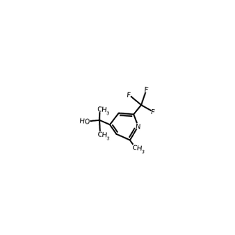 Cc1cc(C(C)(C)O)cc(C(F)(F)F)n1